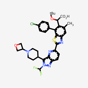 Cc1cc2nc(-c3ccc4nn(C(F)F)c(C5CCN(C6COC6)CC5)c4n3)sc2c(-c2ccc(Cl)cc2)c1C(OC(C)(C)C)C(=O)O